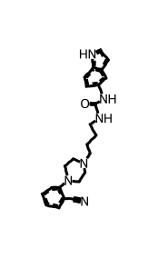 N#Cc1ccccc1N1CCN(CCCCNC(=O)Nc2ccc3[nH]ccc3c2)CC1